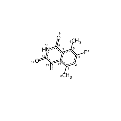 Cc1cc(F)c(C)c2c(=O)[nH]c(=O)[nH]c12